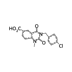 Cn1c(=O)n(Cc2ccc(Cl)cc2)c(=O)c2cc(C(=O)O)ccc21